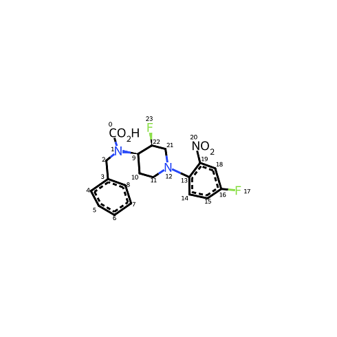 O=C(O)N(Cc1ccccc1)[C@@H]1CCN(c2ccc(F)cc2[N+](=O)[O-])C[C@@H]1F